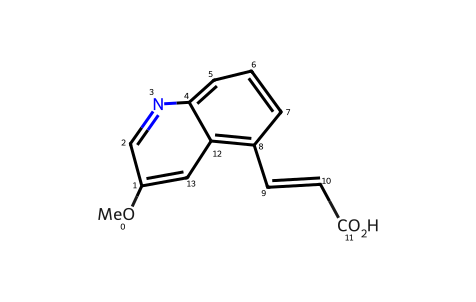 COc1cnc2cccc(C=CC(=O)O)c2c1